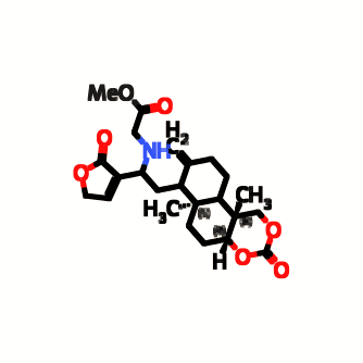 C=C1CCC2[C@@](C)(CC[C@H]3OC(=O)OC[C@@]23C)C1CC(NCC(=O)OC)C1=CCOC1=O